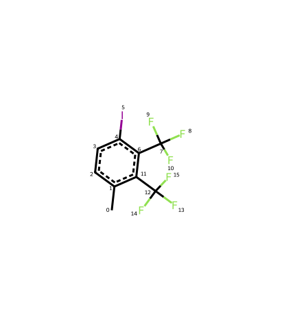 Cc1ccc(I)c(C(F)(F)F)c1C(F)(F)F